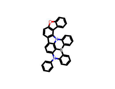 c1ccc(N2c3ccccc3B3c4ccccc4-n4c5c3c2ccc5c2ccc3oc5ccccc5c3c24)cc1